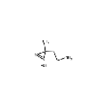 CC1(CCN)N=N1.Cl